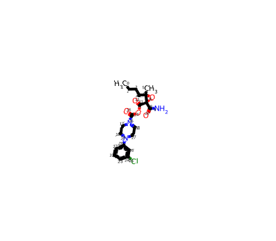 CCCCC1(C)OC1(C(N)=O)C(=O)OC(=O)N1CCN(c2cccc(Cl)c2)CC1